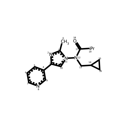 Cc1nc(-c2cccnc2)cn1N(CC1CC1)C(=O)C(C)C